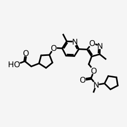 Cc1nc(-c2onc(C)c2COC(=O)N(C)C2CCCC2)ccc1OC1CCC(CC(=O)O)C1